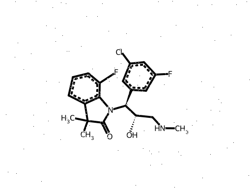 CNC[C@H](O)[C@H](c1cc(F)cc(Cl)c1)N1C(=O)C(C)(C)c2cccc(F)c21